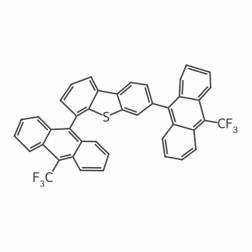 FC(F)(F)c1c2ccccc2c(-c2ccc3c(c2)sc2c(-c4c5ccccc5c(C(F)(F)F)c5ccccc45)cccc23)c2ccccc12